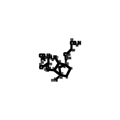 NC1C(N)[C@H]2CC[C@@H]1C2.O=C(O)CCl.O=C(O)CCl.[Pt]